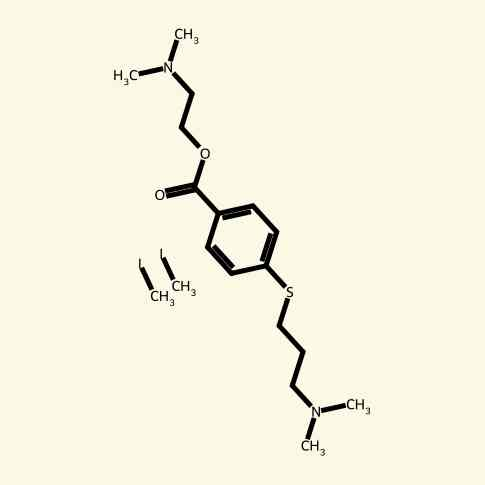 CI.CI.CN(C)CCCSc1ccc(C(=O)OCCN(C)C)cc1